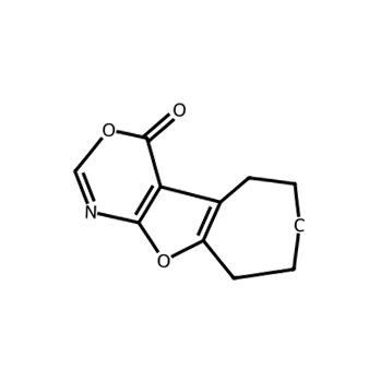 O=c1ocnc2oc3c(c12)CCCCC3